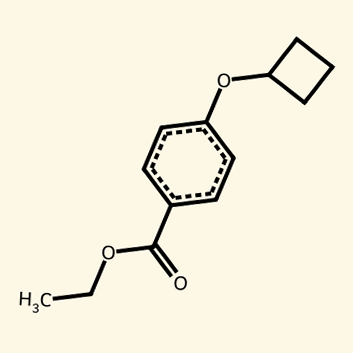 CCOC(=O)c1ccc(OC2CCC2)cc1